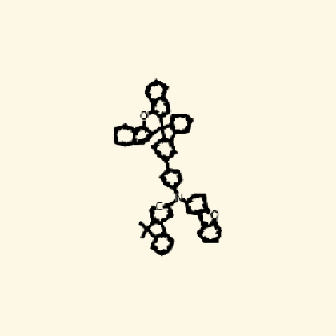 CC1(C)c2ccccc2-c2cc(N(c3ccc(-c4ccc5c(c4)-c4ccccc4C54c5ccc6ccccc6c5Oc5c4ccc4ccccc54)cc3)c3ccc4oc5ccccc5c4c3)ccc21